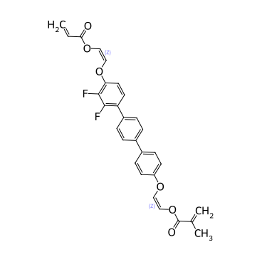 C=CC(=O)O/C=C\Oc1ccc(-c2ccc(-c3ccc(O/C=C\OC(=O)C(=C)C)cc3)cc2)c(F)c1F